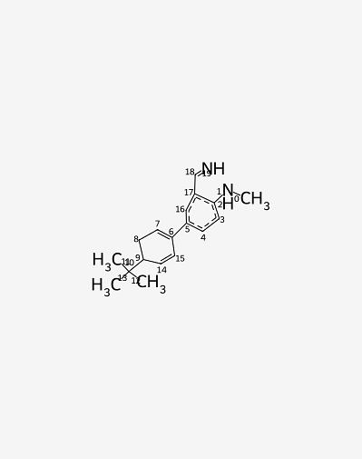 CNc1ccc(C2=CCC(C(C)(C)C)C=C2)cc1C=N